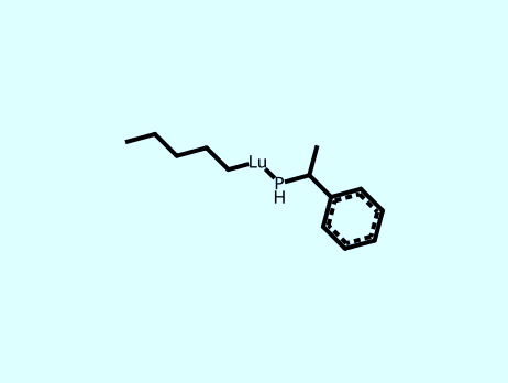 CCCC[CH2][Lu][PH]C(C)c1ccccc1